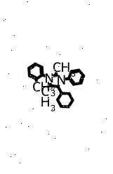 Cc1ccccc1N1C(C)N(c2ccccc2)C(C2CCCCC2)[C@@H]1C